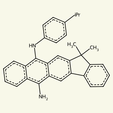 CC(C)c1ccc(Nc2c3ccccc3c(N)c3cc4c(cc23)C(C)(C)c2ccccc2-4)cc1